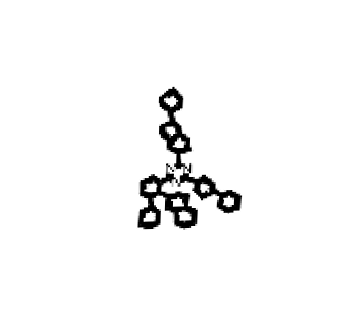 c1ccc(-c2ccc(-c3nc(-c4ccc5cc(-c6ccccc6)ccc5c4)nc(-c4cccc(-c5ccccc5)c4-c4ccc5ccccc5c4)n3)cc2)cc1